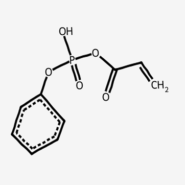 C=CC(=O)OP(=O)(O)Oc1ccccc1